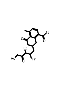 CCCC(CC1CC(=O)c2c(C)ccc(C(=O)CC)c2C1)C(CC)C(=O)CC(C)=O